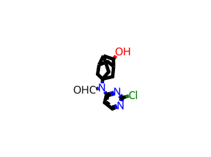 O=CN(c1ccnc(Cl)n1)C12CC3CC(C1)C(C2)C3O